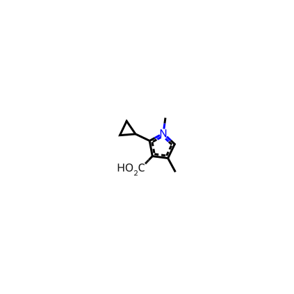 Cc1cn(C)c(C2CC2)c1C(=O)O